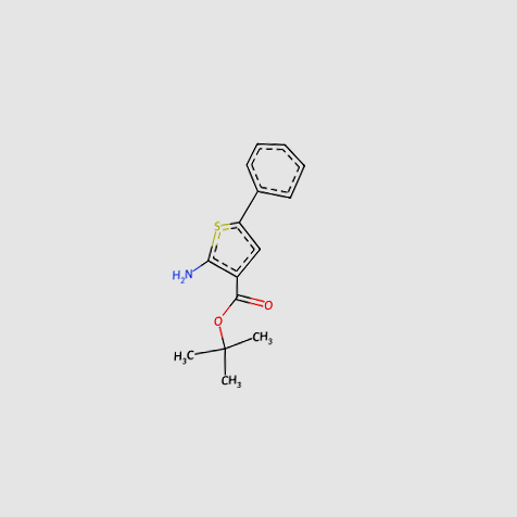 CC(C)(C)OC(=O)c1cc(-c2ccccc2)sc1N